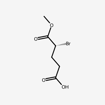 COC(=O)[C@H](Br)CCC(=O)O